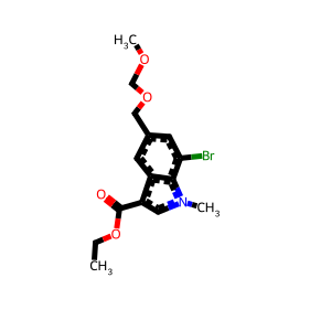 CCOC(=O)c1cn(C)c2c(Br)cc(COCOC)cc12